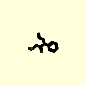 C=CCN(C(=O)CN)c1ccccc1